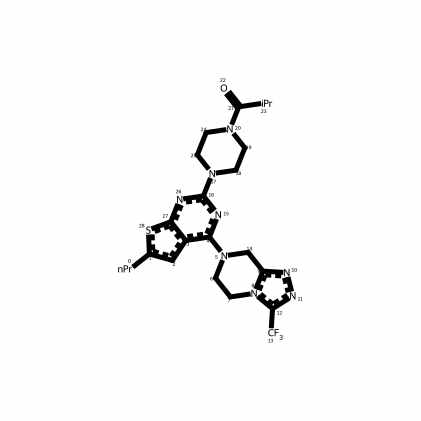 CCCc1cc2c(N3CCn4c(nnc4C(F)(F)F)C3)nc(N3CCN(C(=O)C(C)C)CC3)nc2s1